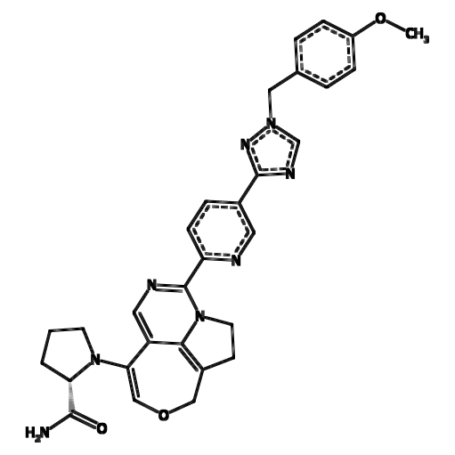 COc1ccc(Cn2cnc(-c3ccc(C4=NC=C5C(N6CCC[C@H]6C(N)=O)=COCC6=C5N4CC6)nc3)n2)cc1